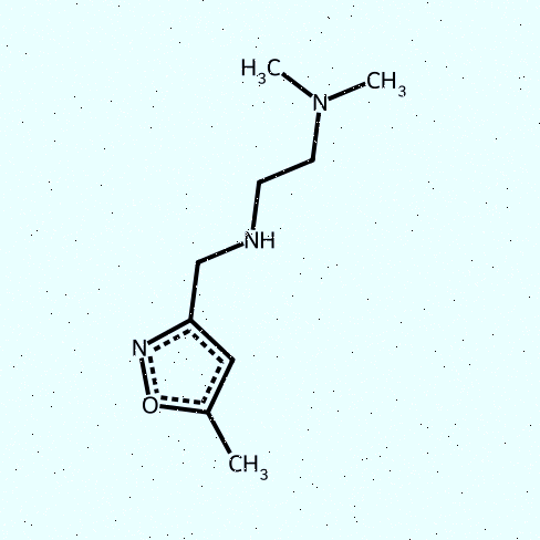 Cc1cc(CNCCN(C)C)no1